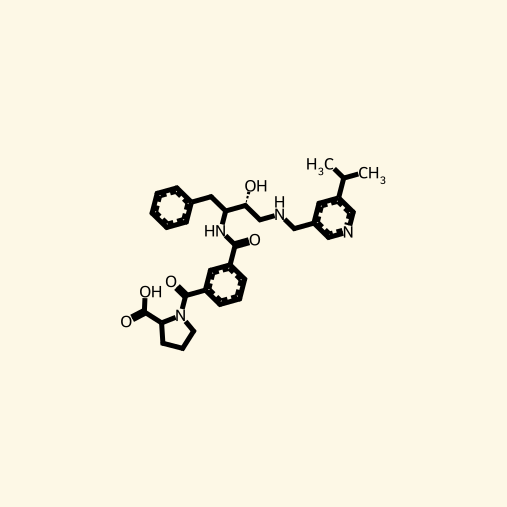 CC(C)c1cncc(CNC[C@@H](O)C(Cc2ccccc2)NC(=O)c2cccc(C(=O)N3CCCC3C(=O)O)c2)c1